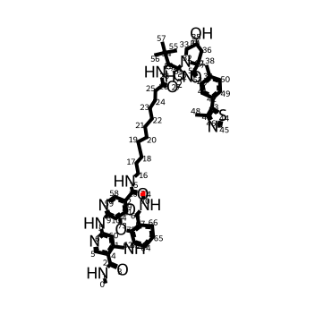 CNC(=O)c1cnc(Nc2ccc(C(=O)NCCCCCCCCCCC(=O)N[C@H](C(=O)N3C[C@H](O)C[C@@]3(Cc3ccc(-c4scnc4C)cc3)C(N)=O)C(C)(C)C)cn2)cc1Nc1cccc(C(=O)NC)c1OC